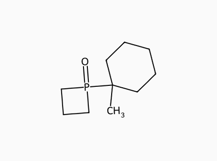 CC1(P2(=O)CCC2)CCCCC1